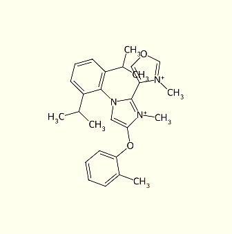 Cc1ccccc1Oc1cn(-c2c(C(C)C)cccc2C(C)C)c(-c2coc[n+]2C)[n+]1C